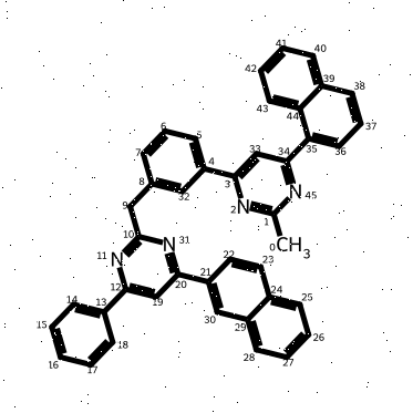 Cc1nc(-c2cccc(Cc3nc(-c4ccccc4)cc(-c4ccc5ccccc5c4)n3)c2)cc(-c2cccc3ccccc23)n1